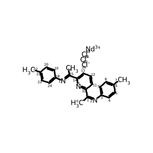 CC(=Nc1ccc(C)cc1)c1cccc(C(C)=Nc2ccc(C)cc2)n1.[Cl-].[Cl-].[Cl-].[Nd+3]